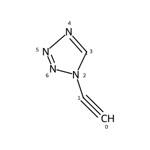 C#Cn1[c]nnn1